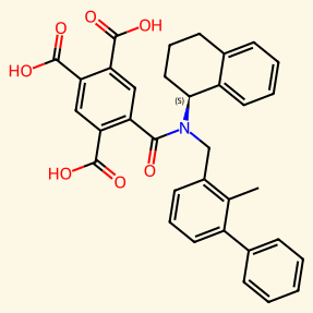 Cc1c(CN(C(=O)c2cc(C(=O)O)c(C(=O)O)cc2C(=O)O)[C@H]2CCCc3ccccc32)cccc1-c1ccccc1